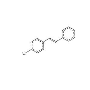 [Li][c]1ccc(C=Cc2ccccc2)cc1